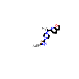 CC(=O)Nc1nnc(N2CCN(C(C)c3ccc4c(n3)OCC4)CC2)s1